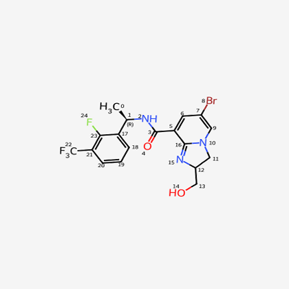 C[C@@H](NC(=O)C1=CC(Br)=CN2CC(CO)N=C12)c1cccc(C(F)(F)F)c1F